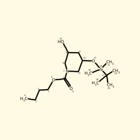 CCCCOC(=O)N1CC(O)CC(O[Si](C)(C)C(C)(C)C)C1